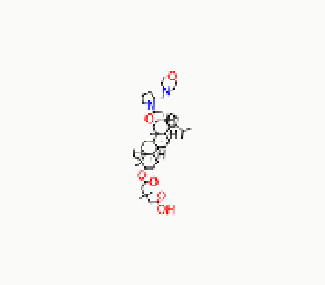 C=C(C)[C@@H]1CC[C@]2(CC(=O)N3CCC[C@@H]3CN3CCOCC3)CC[C@]3(C)[C@H](CC[C@@H]4[C@@]5(C)CC[C@H](OC(=O)CC(C)(C)CC(=O)O)C(C)(C)[C@@H]5CC[C@]43C)[C@@H]12